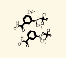 O=C(N[O-])c1cccc(N(SC(F)(Cl)Cl)C(F)(F)F)c1.O=C(N[O-])c1cccc(N(SC(F)(Cl)Cl)C(F)(F)F)c1.[Zn+2]